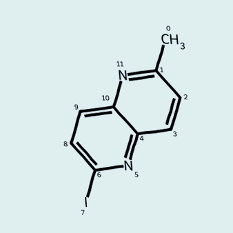 Cc1ccc2nc(I)ccc2n1